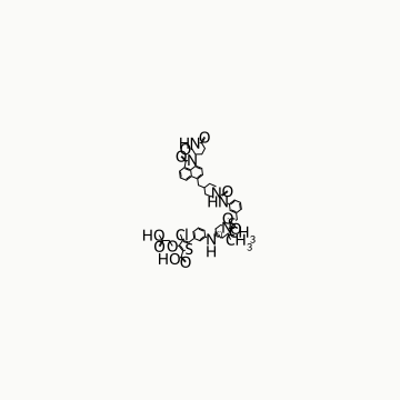 CC1(C)C[C@@H](Nc2cccc(-c3sc(C(=O)O)c(OCC(=O)O)c3Cl)c2)CCN1S(=O)(=O)Cc1cccc(NC(=O)N2CCC(Cc3ccc4c5c(cccc35)C(=O)N4C3CCC(=O)NC3=O)CC2)c1